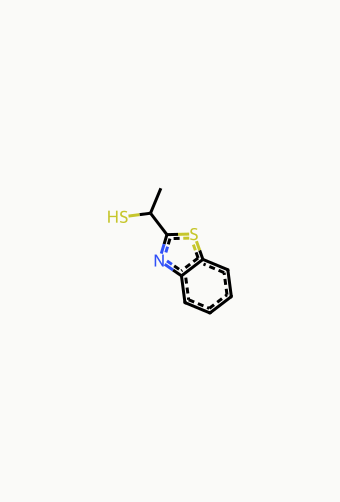 CC(S)c1nc2ccccc2s1